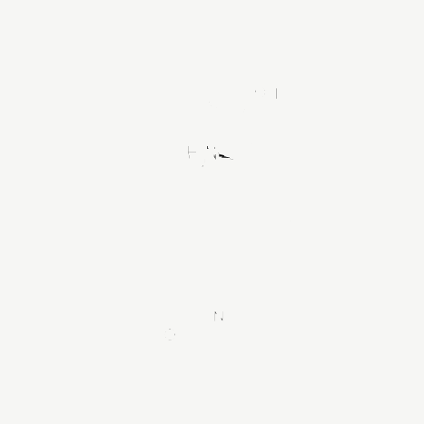 COc1ccc(-c2cccc([C@@H](N)CC(=O)O)c2)cn1